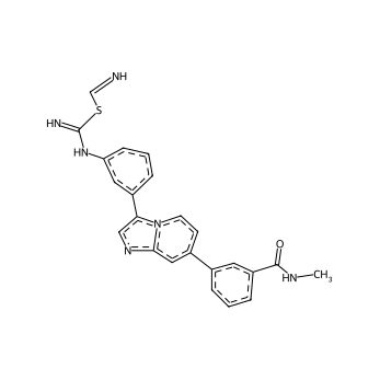 CNC(=O)c1cccc(-c2ccn3c(-c4cccc(NC(=N)SC=N)c4)cnc3c2)c1